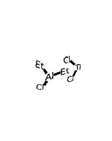 C[CH2][Al]([Cl])[CH2]C.[Cl][Ti][Cl]